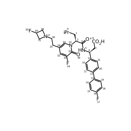 CC(C)C[C@@H](C(=O)N[C@@H](CC(=O)O)c1ccc(-c2ccc(F)cc2)cc1)n1cc(CCN2CC(F)C2)cc(F)c1=O